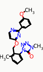 COc1cccc(-c2nccc(OCc3c(C)cccc3-n3nnn(C)c3=O)n2)c1